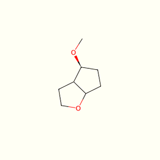 CO[C@H]1CCC2OCCC21